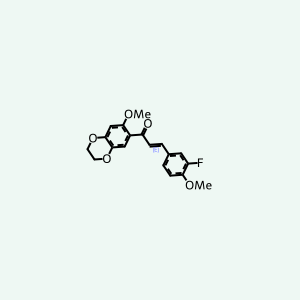 COc1ccc(/C=C/C(=O)c2cc3c(cc2OC)OCCO3)cc1F